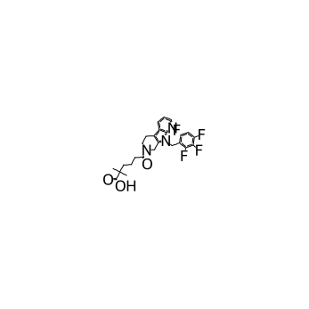 CC(C)(CCCC(=O)N1CCc2c(n(Cc3c(F)cc(F)c(F)c3F)c3ncccc23)C1)C(=O)O